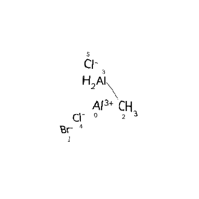 [Al+3].[Br-].[CH3][AlH2].[Cl-].[Cl-]